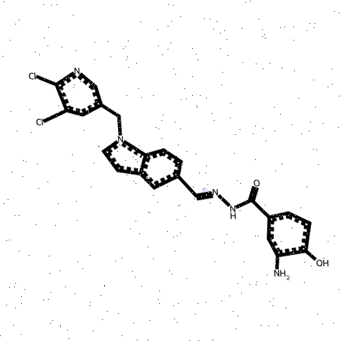 Nc1cc(C(=O)N/N=C/c2ccc3c(ccn3Cc3cnc(Cl)c(Cl)c3)c2)ccc1O